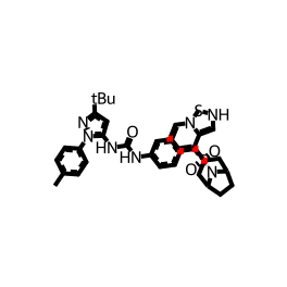 Cc1ccc(-n2nc(C(C)(C)C)cc2NC(=O)Nc2ccc(CC3CC4CCC(C3)N4S(=O)(=O)C3=CC=CN4SNC=C34)cc2)cc1